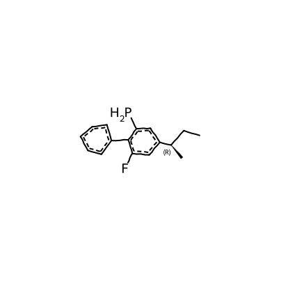 CC[C@@H](C)c1cc(F)c(-c2ccccc2)c(P)c1